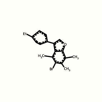 CCc1ccc(-c2coc3c(C)c(C)c(Br)c(C)c23)cc1